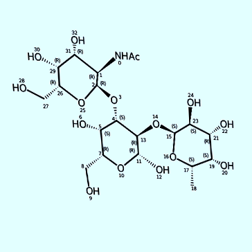 CC(=O)N[C@H]1[C@@H](O[C@H]2[C@@H](O)[C@@H](CO)O[C@@H](O)[C@@H]2O[C@@H]2O[C@@H](C)[C@@H](O)[C@@H](O)[C@@H]2O)O[C@H](CO)[C@H](O)[C@@H]1O